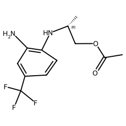 CC(=O)OC[C@@H](C)Nc1ccc(C(F)(F)F)cc1N